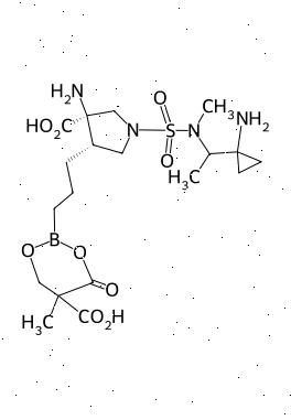 CC(N(C)S(=O)(=O)N1C[C@H](CCCB2OCC(C)(C(=O)O)C(=O)O2)[C@](N)(C(=O)O)C1)C1(N)CC1